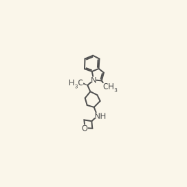 Cc1cc2ccccc2n1[C@H](C)C1CCC(NC2COC2)CC1